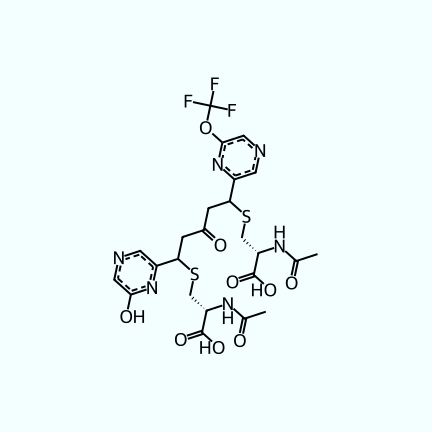 CC(=O)N[C@@H](CSC(CC(=O)CC(SC[C@H](NC(C)=O)C(=O)O)c1cncc(OC(F)(F)F)n1)c1cncc(O)n1)C(=O)O